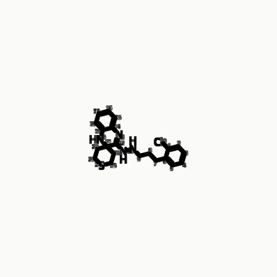 Clc1ccccc1CCCNNC1=Nc2ccccc2NC12CCSCC2